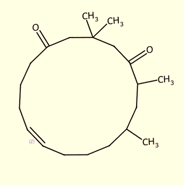 CC1CCC/C=C\CCCC(=O)CC(C)(C)CC(=O)C(C)C1